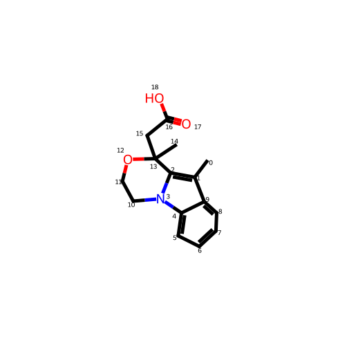 Cc1c2n(c3ccccc13)CCOC2(C)CC(=O)O